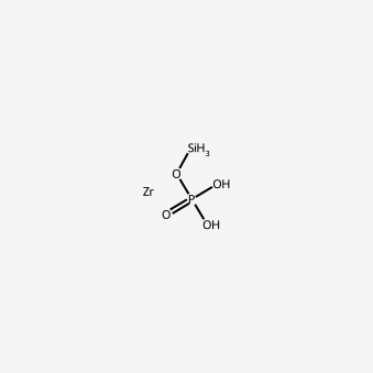 O=P(O)(O)O[SiH3].[Zr]